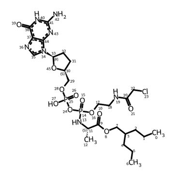 CCCC(CCC)COC(=O)[C@H](C)NP(=O)(OCCNC(=O)CCl)OP(=O)(O)OC[C@@H]1CC[C@H](n2cnc3c(=O)[nH]c(N)nc32)O1